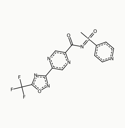 CS(=O)(=NC(=O)c1cnc(-c2noc(C(F)(F)F)n2)cn1)c1ccncc1